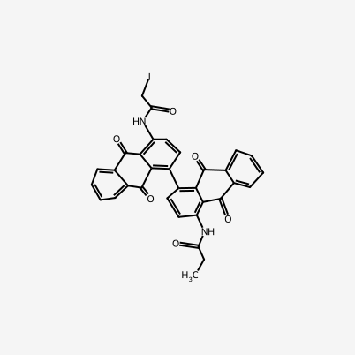 CCC(=O)Nc1ccc(-c2ccc(NC(=O)CI)c3c2C(=O)c2ccccc2C3=O)c2c1C(=O)c1ccccc1C2=O